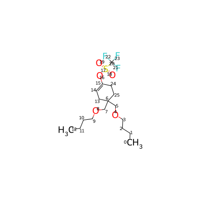 CCCCOCC1(COCCCC)CC=C(OS(=O)(=O)C(F)(F)F)CC1